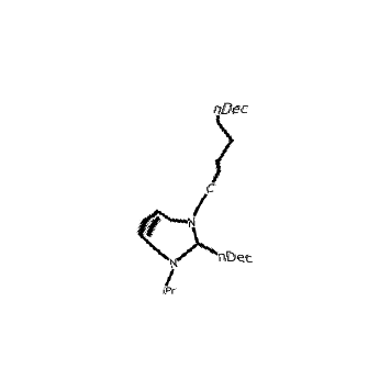 CCCCCCCCCCCCCN1C=CN(C(C)C)C1CCCCCCCCCC